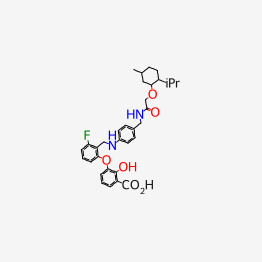 CC1CCC(C(C)C)C(OCC(=O)NCc2ccc(NCc3c(F)cccc3Oc3cccc(C(=O)O)c3O)cc2)C1